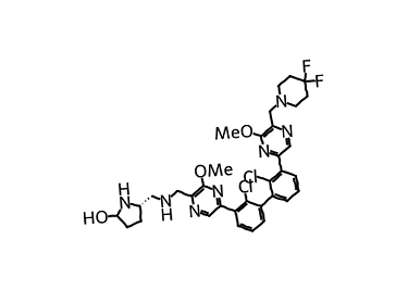 COc1nc(-c2cccc(-c3cccc(-c4cnc(CN5CCC(F)(F)CC5)c(OC)n4)c3Cl)c2Cl)cnc1CNC[C@@H]1CCC(O)N1